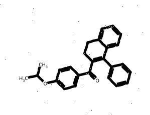 CC(C)Oc1ccc(C(=O)C2=C(c3ccccc3)c3ccccc3CC2)cc1